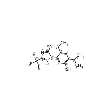 CCc1cc(C(C)C)c(S)cc1-n1nc(C(F)(F)F)nc1N